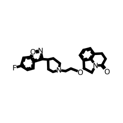 O=C1CCc2cccc3c2N1CC3OCCN1CCC(c2noc3cc(F)ccc23)CC1